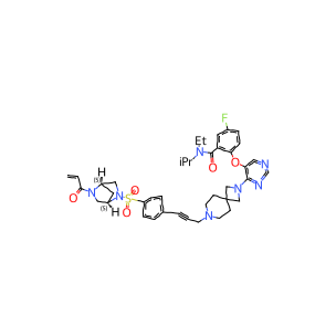 C=CC(=O)N1C[C@@H]2C[C@H]1CN2S(=O)(=O)c1ccc(C#CCN2CCC3(CC2)CN(c2ncncc2Oc2ccc(F)cc2C(=O)N(CC)C(C)C)C3)cc1